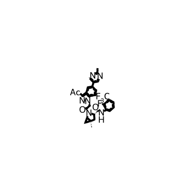 CC(=O)c1nn(CC(=O)N2C3C[C@]3(C)C[C@H]2C(=O)Nc2cccc(C(F)(F)F)c2F)c2ccc(-c3cnc(C)nc3)cc12